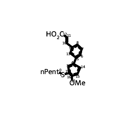 CCCCCSc1cc(-c2cccc(C=CC(=O)O)c2)ccc1OC